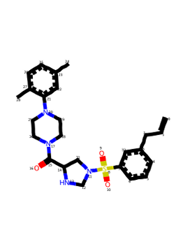 C=CCc1cccc(S(=O)(=O)N2CNC(C(=O)N3CCN(c4cc(C)ccc4C)CC3)C2)c1